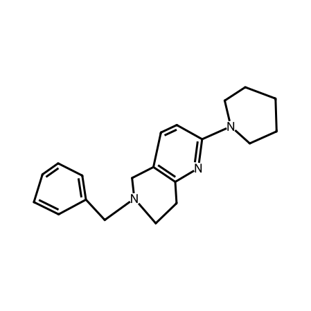 c1ccc(CN2CCc3nc(N4CCCCC4)ccc3C2)cc1